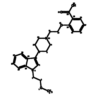 COCCn1cc(C2CCN(CCOc3ccccc3C(=O)O)CC2)c2ccccc21